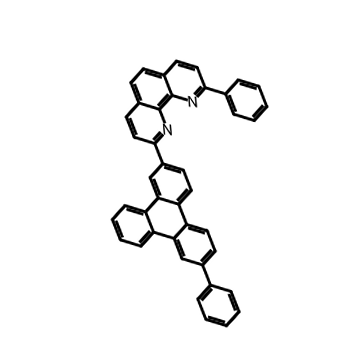 c1ccc(-c2ccc3c4ccc(-c5ccc6ccc7ccc(-c8ccccc8)nc7c6n5)cc4c4ccccc4c3c2)cc1